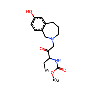 CC(C)CC(NC(=O)OC(C)(C)C)C(=O)CN1CCCc2cc(O)ccc2C1